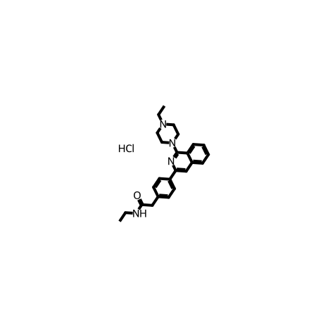 CCNC(=O)Cc1ccc(-c2cc3ccccc3c(N3CCN(CC)CC3)n2)cc1.Cl